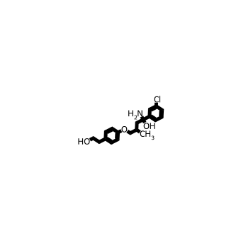 CC(COc1ccc(CCO)cc1)CC(N)(O)c1cccc(Cl)c1